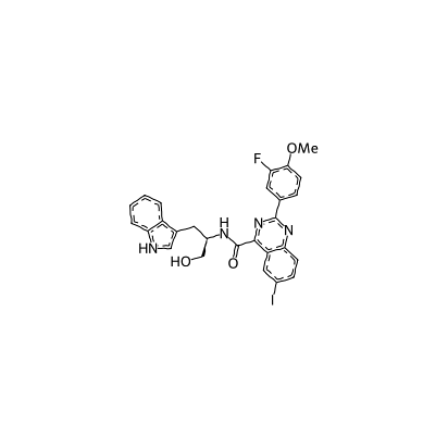 COc1ccc(-c2nc(C(=O)N[C@@H](CO)Cc3c[nH]c4ccccc34)c3cc(I)ccc3n2)cc1F